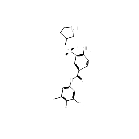 Nc1ccc(C(=O)Nc2cc(F)c(F)c(F)c2)cc1S(=O)(=O)NC1CCNC1